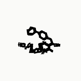 COC(CN1CCN(c2ccccc2)CC1)c1nccnc1C.O=C(O)C=CC(=O)O